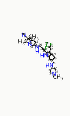 CN1CCC(NCc2ccc3c(CC(F)(F)F)c(C#CCNc4ccc(C(C)(C)C#N)nc4)[nH]c3c2)CC1